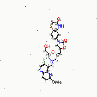 COc1ccc2ncc(F)c(CN(CCC[C@H]3CN(c4ccc5c(c4)NC(=O)CS5)C(=O)O3)C[C@@H](O)CO)c2n1